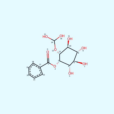 O=C(O[C@H]1[C@@H](O)[C@H](O)[C@@H](O)[C@H](O)[C@H]1OC(O)O)c1ccccc1